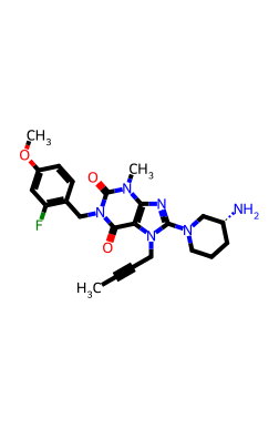 CC#CCn1c(N2CCC[C@@H](N)C2)nc2c1c(=O)n(Cc1ccc(OC)cc1F)c(=O)n2C